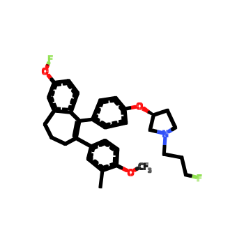 Cc1cc(C2=C(c3ccc(O[C@H]4CCN(CCCF)C4)cc3)c3ccc(OF)cc3CCC2)ccc1OC(F)(F)F